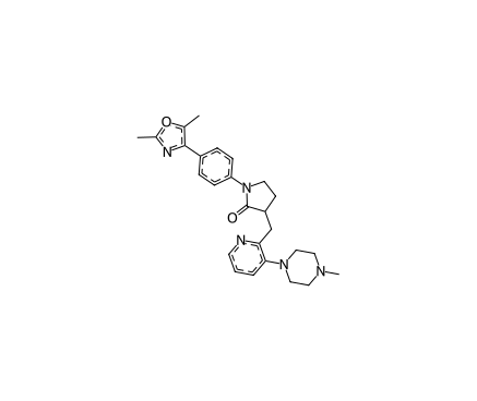 Cc1nc(-c2ccc(N3CCC(Cc4ncccc4N4CCN(C)CC4)C3=O)cc2)c(C)o1